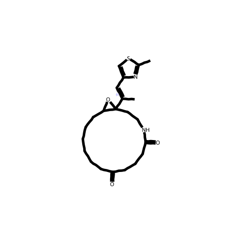 C/C(=C\c1csc(C)n1)C12CCNC(=O)CCCC(=O)CCCCCCC1O2